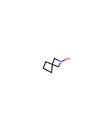 ON1CC2(CCC2)C1